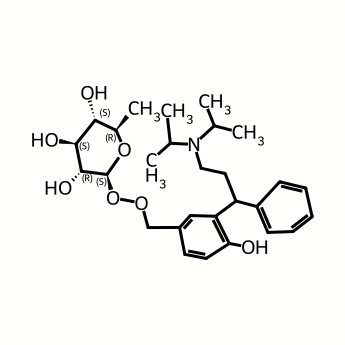 CC(C)N(CCC(c1ccccc1)c1cc(COO[C@@H]2O[C@H](C)[C@@H](O)[C@H](O)[C@H]2O)ccc1O)C(C)C